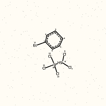 CCc1ccccc1.Cl[SiH](Cl)[Si](Cl)(Cl)Cl